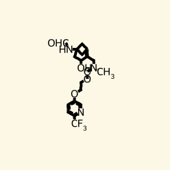 CN(CC1=C2CC(NC=O)(C2)CC1O)OOCCOc1ccc(C(F)(F)F)nc1